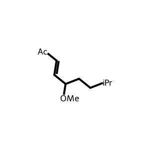 COC(/C=C/C(C)=O)CCC(C)C